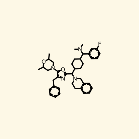 CC1CN(c2oc(C(C3CCC(C(c4cccc(F)c4)N(C)C)CC3)N3CCc4ccccc4C3)nc2Cc2ccccc2)CC(C)O1